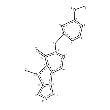 COc1cccc(Cn2ncc3c4n[nH]cc4n(C)c3c2=O)c1